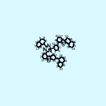 c1cc(-c2nc(-c3cccc4ccccc34)nc(-c3cccc4oc5cc(-c6cccc7ccccc67)ccc5c34)n2)cc(-c2cccc3c2sc2c4ccccc4ccc32)c1